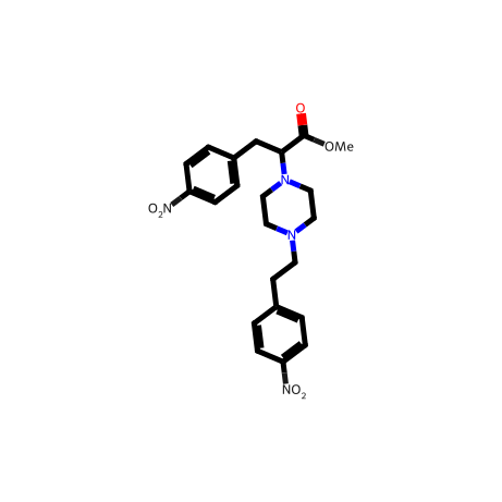 COC(=O)C(Cc1ccc([N+](=O)[O-])cc1)N1CCN(CCc2ccc([N+](=O)[O-])cc2)CC1